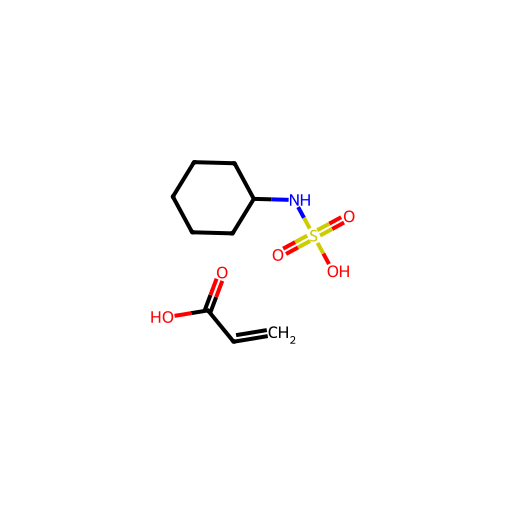 C=CC(=O)O.O=S(=O)(O)NC1CCCCC1